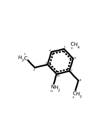 C.CCc1cccc(CC)c1N